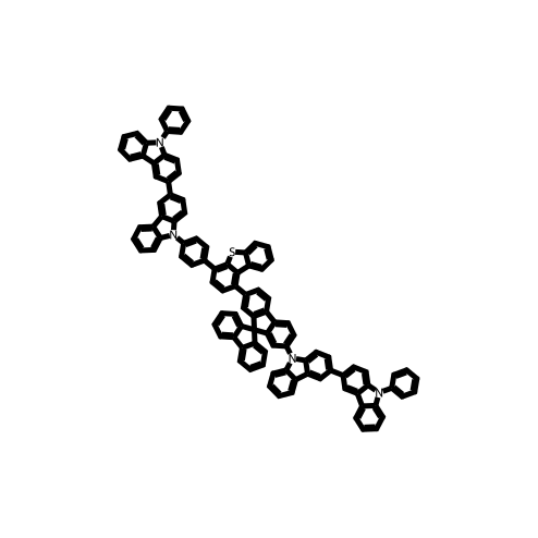 c1ccc(-n2c3ccccc3c3cc(-c4ccc5c(c4)c4ccccc4n5-c4ccc(-c5ccc(-c6ccc7c(c6)C6(c8ccccc8-c8ccccc86)c6cc(-n8c9ccccc9c9cc(-c%10ccc%11c(c%10)c%10ccccc%10n%11-c%10ccccc%10)ccc98)ccc6-7)c6c5sc5ccccc56)cc4)ccc32)cc1